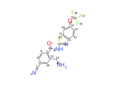 N#Cc1ccc(C(=O)Nc2nc3ccc(OC(F)(F)F)cc3s2)c(CN)c1